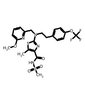 COc1cccc(CN(CCc2ccc(OC(F)(F)F)cc2)c2nc(C(=O)NS(C)(=O)=O)c(C)s2)n1